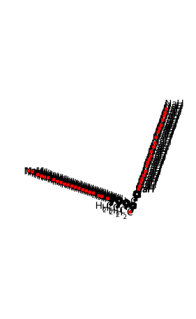 C=Cc1ccccc1.C=Cc1ccccc1.C=Cc1ccccc1.C=Cc1ccccc1.C=Cc1ccccc1.[NaH].[NaH].[NaH].[NaH].[NaH].[NaH].[NaH].[NaH].[NaH].[NaH].[NaH].[NaH].[NaH].[NaH].[NaH].[NaH].[NaH].[NaH].[NaH].[NaH].[NaH].[NaH].[NaH].[NaH].[NaH].[NaH].[NaH].[NaH].[NaH].[NaH].[NaH].[NaH].[NaH].[NaH].[NaH].[NaH].[NaH].[NaH].[NaH].[NaH].[NaH].[NaH].[NaH].[NaH].[NaH].[NaH].[NaH].[NaH].[NaH].[NaH].[NaH].[NaH].[NaH].[NaH].[NaH].[NaH].[NaH].[NaH].[NaH].[NaH].[NaH].[NaH].[NaH].[NaH].[NaH].[NaH].[NaH].[NaH].[NaH].[NaH].[NaH].[NaH].[NaH].[NaH].[NaH].[NaH].[NaH].[NaH].[NaH].[NaH].[NaH].[NaH].[NaH].[NaH].[NaH].[NaH].[NaH].[NaH].[NaH].[NaH].[NaH].[NaH].[NaH].[NaH].[NaH]